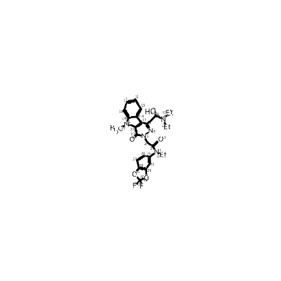 CCN(C(=O)Cn1nc(C(O)N(CC)CC)c2c3ccccc3n(C)c2c1=O)c1ccc2c(c1)OC(F)(F)O2